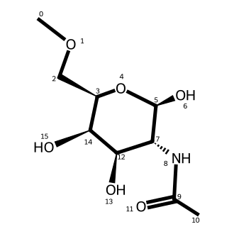 COC[C@H]1O[C@@H](O)[C@H](NC(C)=O)[C@@H](O)[C@H]1O